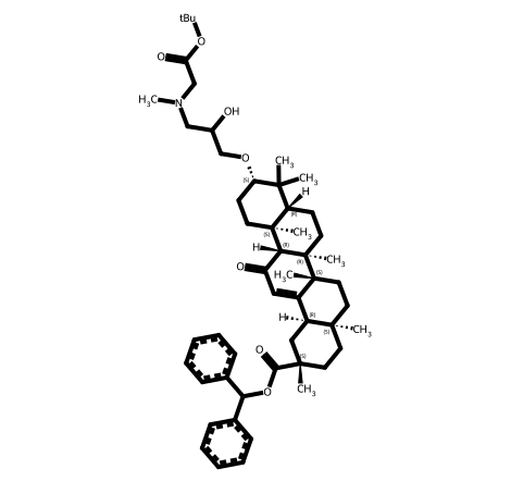 CN(CC(=O)OC(C)(C)C)CC(O)CO[C@H]1CC[C@]2(C)[C@H]3C(=O)C=C4[C@@H]5C[C@@](C)(C(=O)OC(c6ccccc6)c6ccccc6)CC[C@]5(C)CC[C@@]4(C)[C@]3(C)CC[C@H]2C1(C)C